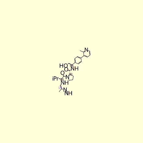 C/C(=C/N[C@H](C(=O)N1CCC[C@H]1C(=O)N[C@@H](CO)c1ccc(-c2cccnc2C)cc1)C(C)C)N=N